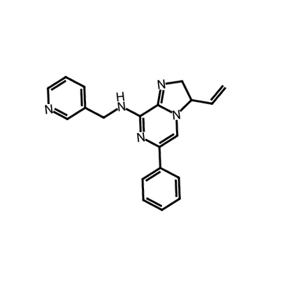 C=CC1CN=C2C(NCc3cccnc3)=NC(c3ccccc3)=CN21